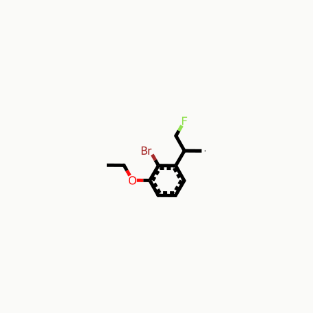 [CH2]C(CF)c1cccc(OCC)c1Br